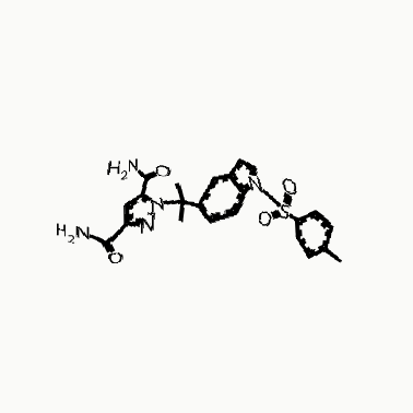 Cc1ccc(S(=O)(=O)n2ccc3cc(C(C)(C)n4nc(C(N)=O)cc4C(N)=O)ccc32)cc1